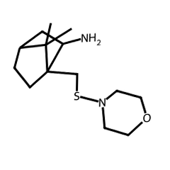 CC1(C)C2CCC1(CSN1CCOCC1)C(N)C2